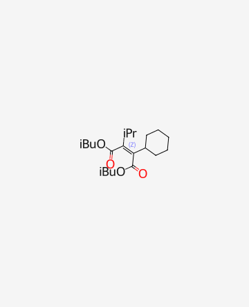 CC(C)COC(=O)/C(=C(\C(=O)OCC(C)C)C1CCCCC1)C(C)C